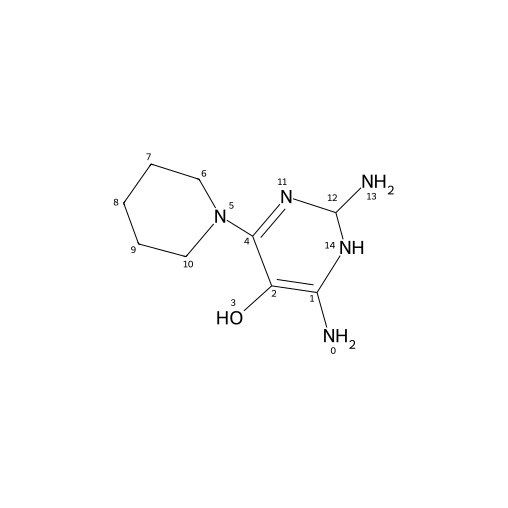 NC1=C(O)C(N2CCCCC2)=NC(N)N1